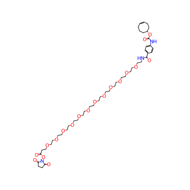 O=C(CCOCCOCCOCCOCCOCCOCCOCCOCCOCCOCCOCCOCCNC(=O)c1ccc(NC(=O)OC2CCC=CCCC2)cc1)ON1C(=O)CCC1=O